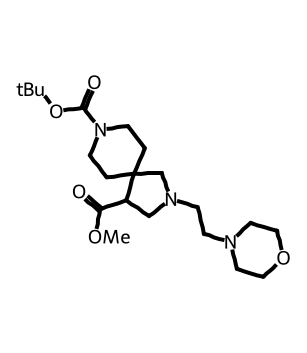 COC(=O)C1CN(CCN2CCOCC2)CC12CCN(C(=O)OC(C)(C)C)CC2